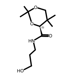 CC1(C)OCC(C)(C)[C@@H](C(=O)NCCCO)O1